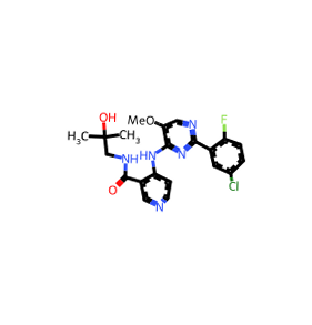 COc1cnc(-c2cc(Cl)ccc2F)nc1Nc1ccncc1C(=O)NCC(C)(C)O